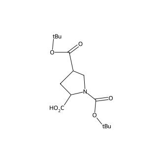 CC(C)(C)OC(=O)C1CC(C(=O)O)N(C(=O)OC(C)(C)C)C1